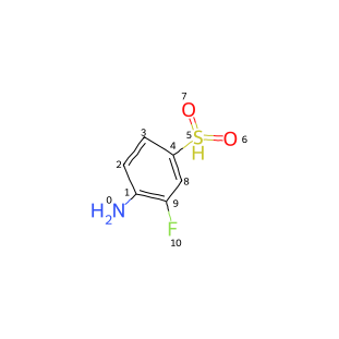 Nc1ccc([SH](=O)=O)cc1F